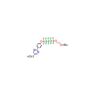 CCCCCCCCc1cnc(-c2ccc(OC(F)(F)C(F)(F)C(F)(F)C(F)(F)C(F)(F)OCCOCCCC)cc2)nc1